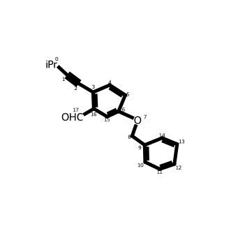 CC(C)C#Cc1ccc(OCc2ccccc2)cc1C=O